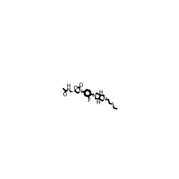 CCSCCN1C[C@@H]2CN(c3ccc(N4C[C@H](CNC(C)=O)OC4=O)cc3F)C[C@@H]2C1